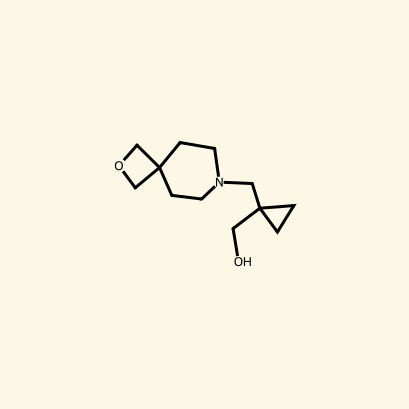 OCC1(CN2CCC3(CC2)COC3)CC1